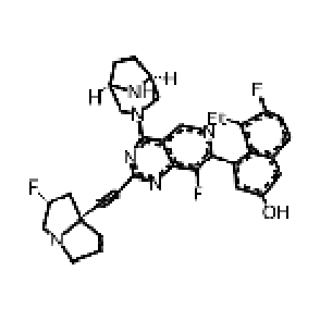 CCc1c(F)ccc2cc(O)cc(-c3ncc4c(N5C[C@H]6CC[C@@H](C5)N6)nc(C#C[C@@]56CCCN5C[C@H](F)C6)nc4c3F)c12